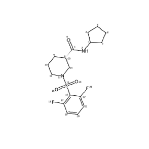 O=C(NC1CCCC1)[C@H]1CCCN(S(=O)(=O)c2c(F)cccc2F)C1